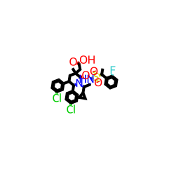 CC(c1ccccc1F)S(=O)(=O)NCC(C1CC1)N1C(=O)C(C)(CC(=O)O)CC(c2cccc(Cl)c2)C1c1ccc(Cl)cc1